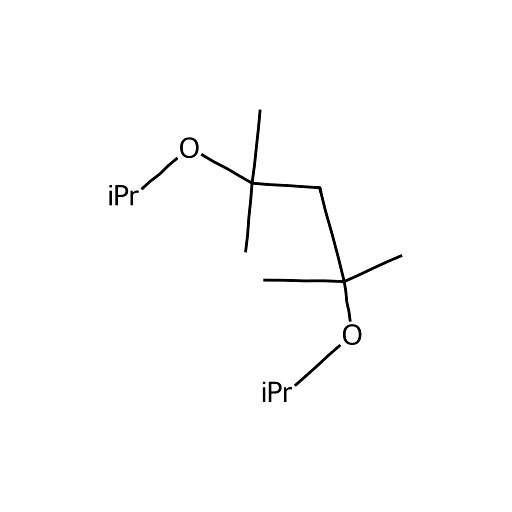 CC(C)OC(C)(C)CC(C)(C)OC(C)C